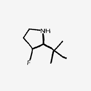 CC(C)(C)C1NCCC1F